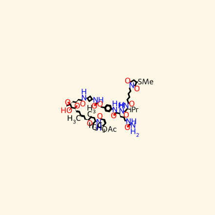 CSC1CC(=O)N(CCCCCC(=O)N[C@H](C(=O)N[C@@H](CCCNC(N)=O)C(=O)Nc2ccc(COC(=O)N[C@H]3C[C@H](NC(=O)C[C@@H]4C[C@@]5(CO5)[C@H](O)[C@@H](/C=C/C(C)=C/C[C@@H]5O[C@H](C)[C@H](NC(=O)/C=C\[C@H](C)OC(C)=O)C[C@@H]5C)O4)C3)cc2)C(C)C)C1=O